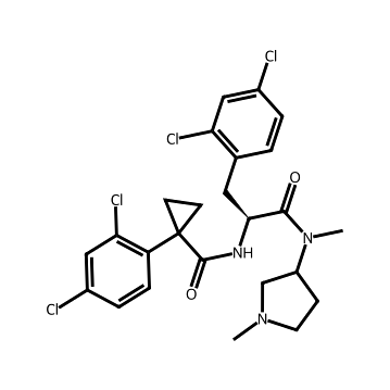 CN1CCC(N(C)C(=O)[C@H](Cc2ccc(Cl)cc2Cl)NC(=O)C2(c3ccc(Cl)cc3Cl)CC2)C1